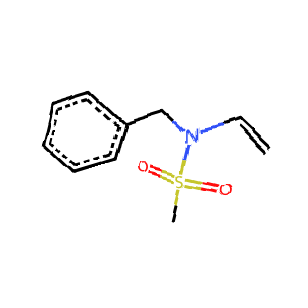 C=CN(Cc1ccccc1)S(C)(=O)=O